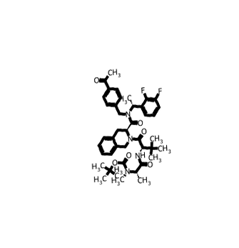 CC(=O)c1ccc(CN(C(=O)[C@@H]2Cc3ccccc3CN2C(=O)[C@@H](NC(=O)[C@H](C)N(C)C(=O)OC(C)(C)C)C(C)(C)C)[C@H](C)c2cccc(F)c2F)cc1